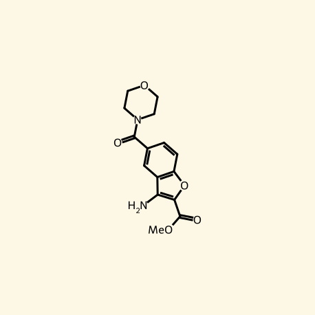 COC(=O)c1oc2ccc(C(=O)N3CCOCC3)cc2c1N